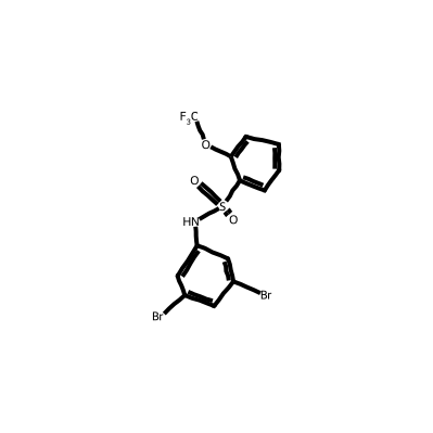 O=S(=O)(Nc1cc(Br)cc(Br)c1)c1ccccc1OC(F)(F)F